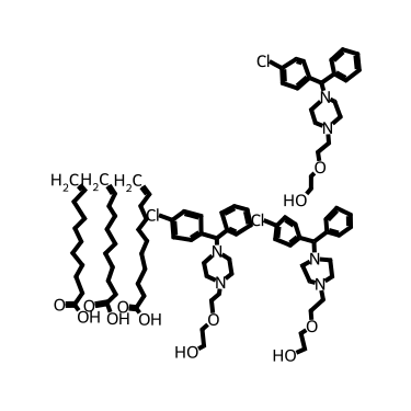 C=CCCCCCCCCC(=O)O.C=CCCCCCCCCC(=O)O.C=CCCCCCCCCC(=O)O.OCCOCCN1CCN(C(c2ccccc2)c2ccc(Cl)cc2)CC1.OCCOCCN1CCN(C(c2ccccc2)c2ccc(Cl)cc2)CC1.OCCOCCN1CCN(C(c2ccccc2)c2ccc(Cl)cc2)CC1